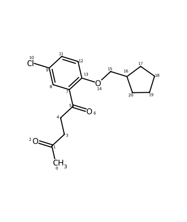 CC(=O)CCC(=O)c1cc(Cl)ccc1OCC1CCCC1